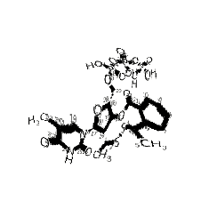 CCSSC(C)c1ccccc1C(=O)OC1C[C@H](n2cc(C)c(=O)[nH]c2=O)O[C@@H]1COP(=O)(O)OP(=O)(O)OP(=O)(O)O